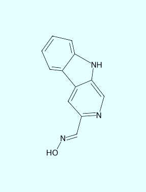 ON=Cc1cc2c(cn1)[nH]c1ccccc12